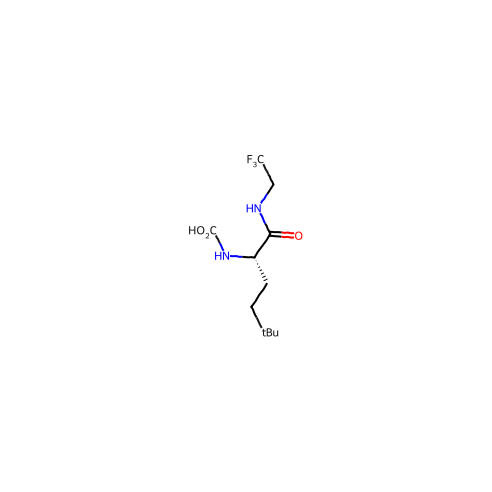 CC(C)(C)CC[C@H](NC(=O)O)C(=O)NCC(F)(F)F